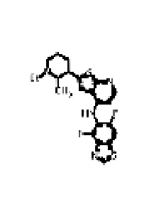 CCN1CCCC(c2cc3c(Nc4c(F)cc5scnc5c4F)ccnc3s2)C1C